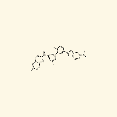 Cc1cc(Nc2ccc3nc(C)ccc3n2)cc(-c2cc(-c3cn4ccc(N(C)C)cc4n3)ccc2C)n1